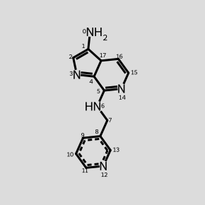 NC1=CN=C2C(NCc3cccnc3)=NC=CC12